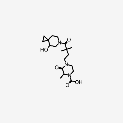 CC1C(=O)N(CCC(C)(C)C(=O)N2CCC3(CC3)C(O)C2)CCN1C(=O)O